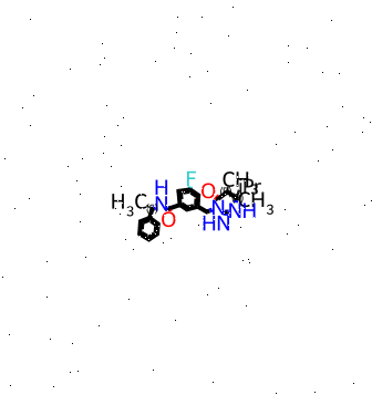 CC(C)[C@@]1(C)NC(=N)N(Cc2cc(F)cc(C(=O)N[C@@H](C)c3ccccc3)c2)C(=O)[C@@H]1C